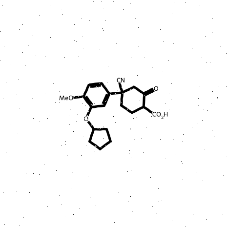 COc1ccc(C2(C#N)CCC(C(=O)O)C(=O)C2)cc1OC1CCCC1